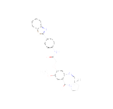 COc1cc2c(cc1OCC(=O)Nc1ccc(-c3nc4ccccc4s3)cc1)N=C[C@@H]1CCCN1C2=O